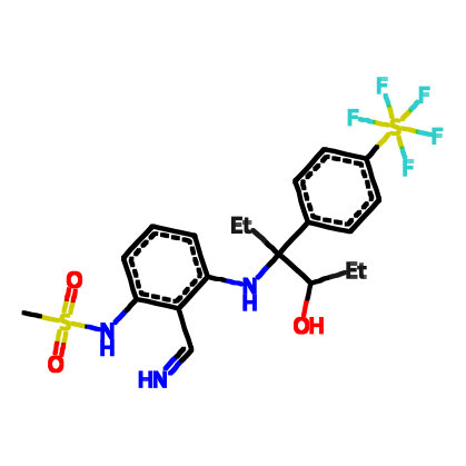 CCC(O)C(CC)(Nc1cccc(NS(C)(=O)=O)c1C=N)c1ccc(S(F)(F)(F)(F)F)cc1